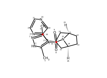 Cc1n[nH]c(C)c1S(=O)(=O)N1[C@@H]2CC[C@H]1C[C@H](Oc1cnccn1)C2